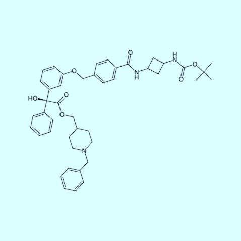 CC(C)(C)OC(=O)NC1CC(NC(=O)c2ccc(COc3cccc([C@](O)(C(=O)OCC4CCN(Cc5ccccc5)CC4)c4ccccc4)c3)cc2)C1